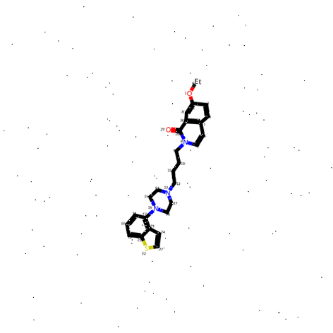 CCOc1ccc2ccn(CCCCN3CCN(c4cccc5sccc45)CC3)c(=O)c2c1